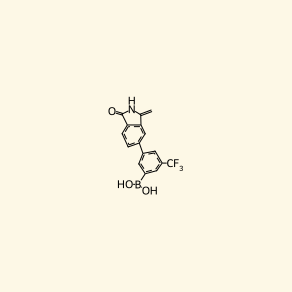 C=C1NC(=O)c2ccc(-c3cc(B(O)O)cc(C(F)(F)F)c3)cc21